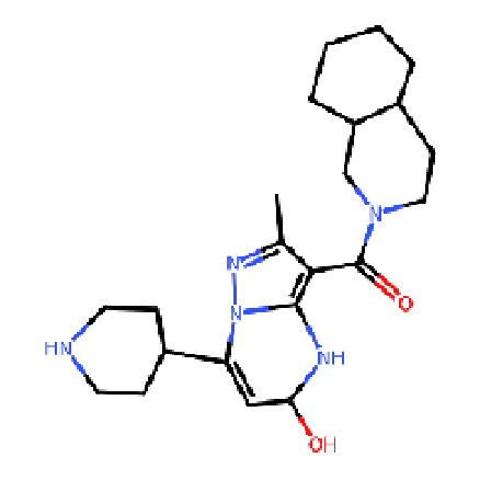 Cc1nn2c(c1C(=O)N1CCC3CCCCC3C1)NC(O)C=C2C1CCNCC1